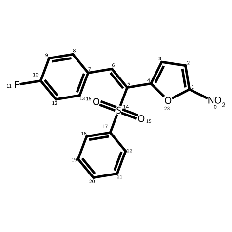 O=[N+]([O-])c1ccc(C(=Cc2ccc(F)cc2)S(=O)(=O)c2ccccc2)o1